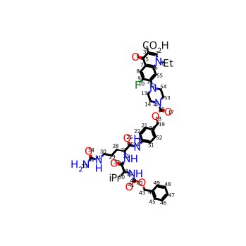 CCn1cc(C(=O)O)c(=O)c2cc(F)c(N3CCN(C(=O)OCc4ccc(NC(=O)[C@H](CCCNC(N)=O)NC(=O)C(NC(=O)OCc5ccccc5)C(C)C)cc4)CC3)cc21